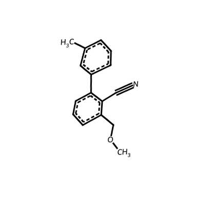 COCc1cccc(-c2cccc(C)c2)c1C#N